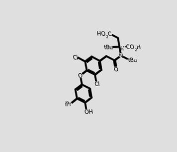 CC(C)c1cc(Oc2c(Cl)cc(CC(=O)N(C(C)(C)C)[C@@](CC(=O)O)(C(=O)O)C(C)(C)C)cc2Cl)ccc1O